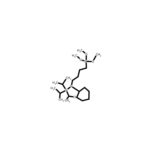 CO[Si](CCCCN(C1CCCCC1)[Si](C(C)C)(C(C)C)C(C)C)(OC)OC